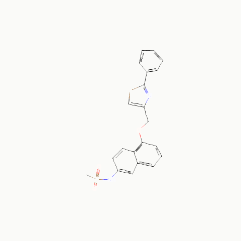 O=S(=O)(Nc1ccc2c(OCc3csc(-c4ccccc4)n3)cccc2c1)C(F)(F)F